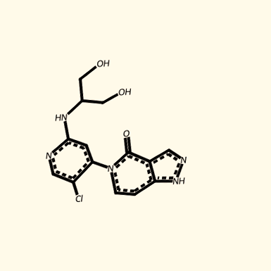 O=c1c2cn[nH]c2ccn1-c1cc(NC(CO)CO)ncc1Cl